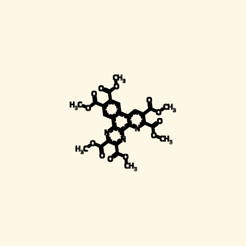 COC(=O)c1cc2c3cc(C(=O)OC)c(C(=O)OC)nc3c3nc(C(=O)OC)c(C(=O)OC)nc3c2cc1C(=O)OC